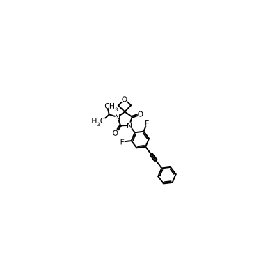 CC(C)N1C(=O)N(c2c(F)cc(C#Cc3ccccc3)cc2F)C(=O)C12COC2